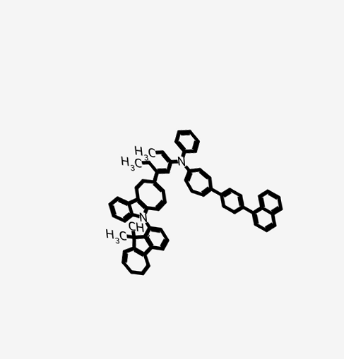 C\C=C(/C=C(CC)/C1=C/C=C\c2c(c3ccccc3n2-c2cccc3c2C(C)(C)C2=C3CCCC=C2)CC1)N(C1=CCC=C(C2=CC=C(c3cccc4ccccc34)CC2)C=C1)c1ccccc1